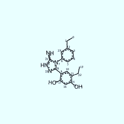 CCc1cccc(-n2c(-c3cc(CC)c(O)cc3O)n[nH]c2=N)c1